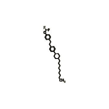 CCCCCCCCCC1CCC(c2ccc(CCc3ccc(OC(F)F)cc3)cc2)CC1